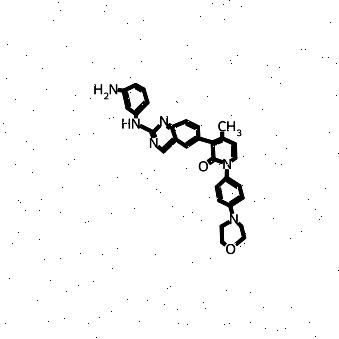 Cc1ccn(-c2ccc(N3CCOCC3)cc2)c(=O)c1-c1ccc2nc(Nc3cccc(N)c3)ncc2c1